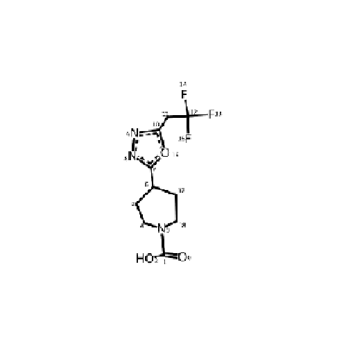 O=C(O)N1CCC(c2nnc(CC(F)(F)F)o2)CC1